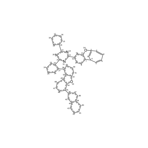 C1=CC2=CC(C=C1)c1ccc(-c3nc(-c4ccccc4)nc(-c4ccccc4-c4cccc5oc6c(-c7ccc8ccccc8c7)cccc6c45)n3)cc1O2